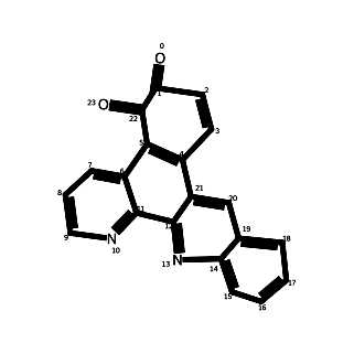 O=C1C=Cc2c(c3cccnc3c3nc4ccccc4cc23)C1=O